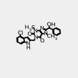 Cn1c(C(O)c2ccccc2)nc2c1c(=O)n(Cc1cc3c(Cl)cccc3[nH]1)c(=O)n2C